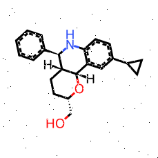 OC[C@@H]1CC[C@@H]2[C@@H](c3ccccc3)Nc3ccc(C4CC4)cc3[C@@H]2O1